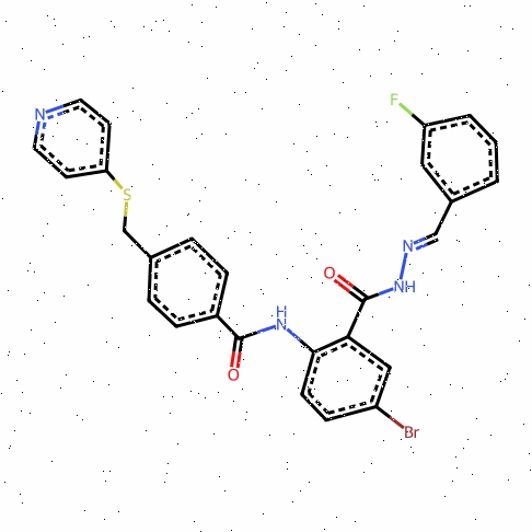 O=C(Nc1ccc(Br)cc1C(=O)NN=Cc1cccc(F)c1)c1ccc(CSc2ccncc2)cc1